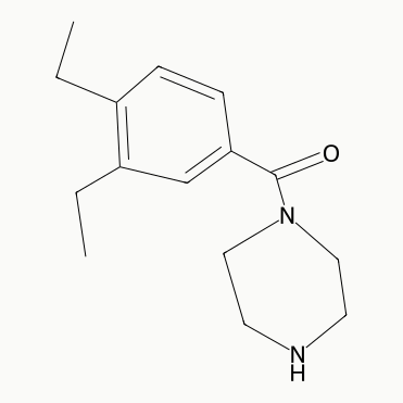 CCc1ccc(C(=O)N2CCNCC2)cc1CC